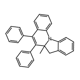 CC12Cc3ccccc3N1c1ccccc1C(c1ccccc1)=C2c1ccccc1